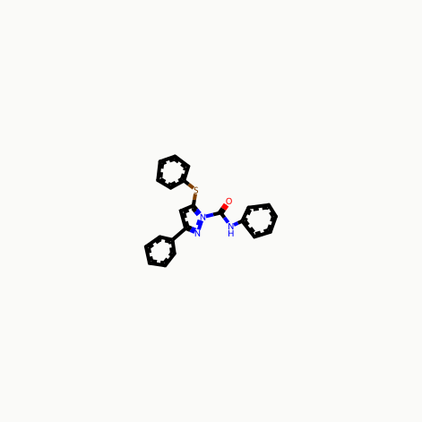 O=C(Nc1ccccc1)n1nc(-c2ccccc2)cc1Sc1ccccc1